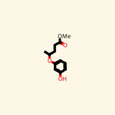 COC(=O)CCC(C)Oc1cccc(O)c1